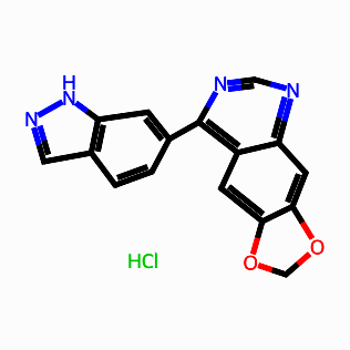 Cl.c1nc(-c2ccc3cn[nH]c3c2)c2cc3c(cc2n1)OCO3